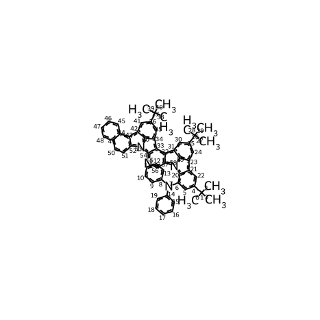 CC(C)(C)c1cc(N(c2ccccc2)c2ccccc2)c2c(c1)c1cc(C(C)(C)C)cc3c4c5c6cc(C(C)(C)C)cc7c8c9ccccc9ccc8n(c5ncc4n2c13)c76